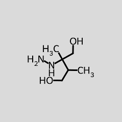 CC(CO)C(C)(CO)NN